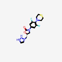 O=C1O[C@@H](CN2C=CNN2)CN1c1cc(F)c(N2CCSCC2)c(F)c1